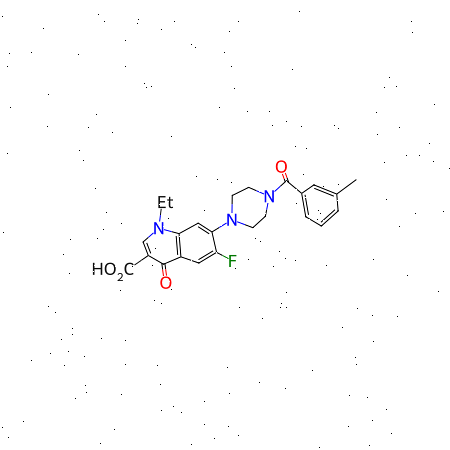 CCn1cc(C(=O)O)c(=O)c2cc(F)c(N3CCN(C(=O)c4cccc(C)c4)CC3)cc21